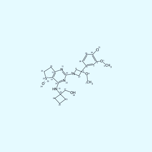 COc1cc(C2(OC)CN(c3nc4c(c(NC5(CO)CCC5)n3)[S@+]([O-])CC4)C2)ccc1Cl